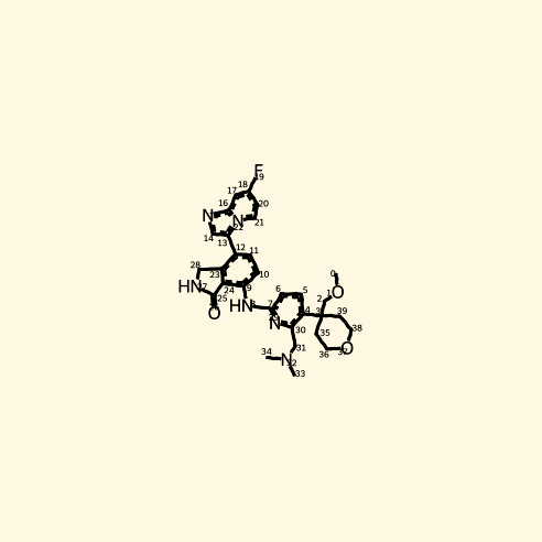 COCC1(c2ccc(Nc3ccc(-c4cnc5cc(F)ccn45)c4c3C(=O)NC4)nc2CN(C)C)CCOCC1